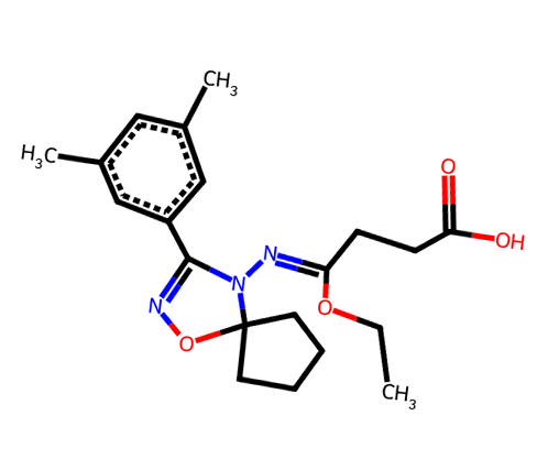 CCOC(CCC(=O)O)=NN1C(c2cc(C)cc(C)c2)=NOC12CCCC2